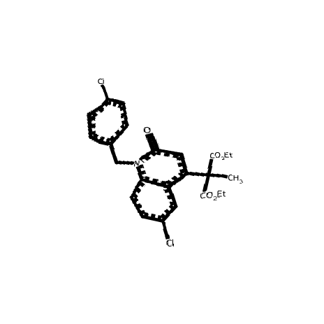 CCOC(=O)C(C)(C(=O)OCC)c1cc(=O)n(Cc2ccc(Cl)cc2)c2ccc(Cl)cc12